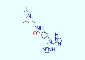 CC(C)CN(CCCCNC(=O)c1ccc(CN(CC2=NCCN2)Cc2ncc[nH]2)cc1)CC(C)C